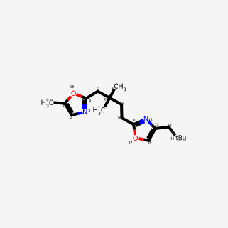 Cc1cnc(CC(C)(C)CCc2nc(CC(C)(C)C)co2)o1